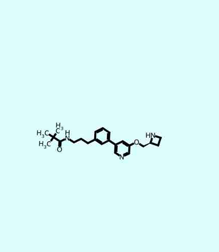 CC(C)(C)C(=O)NCCCc1cccc(-c2cncc(OC[C@@H]3CCN3)c2)c1